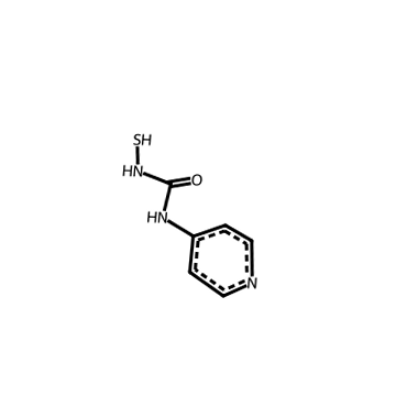 O=C(NS)Nc1ccncc1